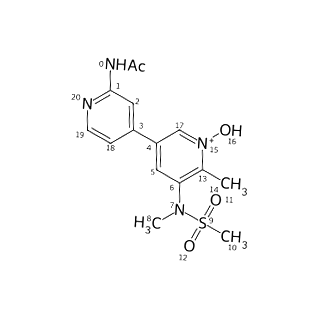 CC(=O)Nc1cc(-c2cc(N(C)S(C)(=O)=O)c(C)[n+](O)c2)ccn1